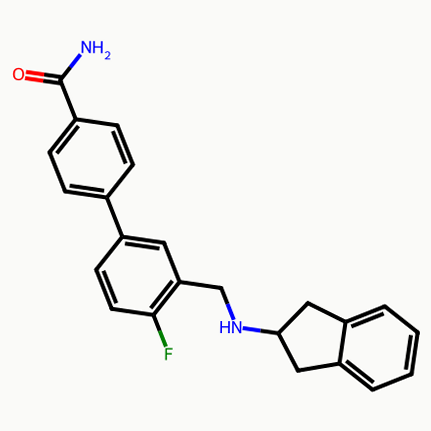 NC(=O)c1ccc(-c2ccc(F)c(CNC3Cc4ccccc4C3)c2)cc1